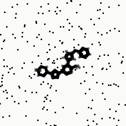 Nc1ncc(-c2cnn(C3CCNCC3)c2)cc1-c1nnc(Cc2ccccc2)o1